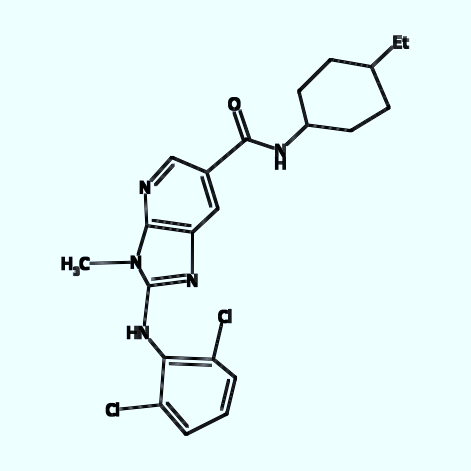 CCC1CCC(NC(=O)c2cnc3c(c2)nc(Nc2c(Cl)cccc2Cl)n3C)CC1